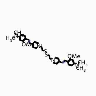 COc1cc(N(C)C)ccc1/C=C/c1cc[n+](CCSSCC[n+]2ccc(/C=C/c3ccc(N(C)C)cc3OC)cc2)cc1